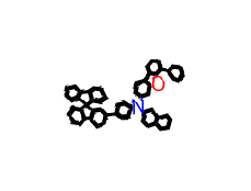 c1ccc(-c2cccc3c2oc2cc(N(c4ccc(-c5ccc6c(c5)C5(c7ccccc7-c7ccccc75)c5ccccc5-6)cc4)c4ccc5ccccc5c4)ccc23)cc1